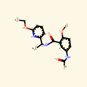 CCOc1ccc(NC(=O)C(C)C)cc1C(=O)NC(C)c1cccc(OCC(F)(F)F)n1